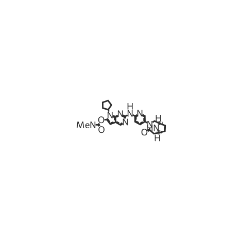 CNC(=O)Oc1cc2cnc(Nc3ccc(N4C[C@H]5CC[C@@H](CC4=O)N5)cn3)nc2n1C1CCCC1